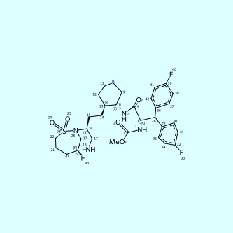 COC(=O)N[C@H](C(=O)N[C@H]1CCCC[C@@H]1CC[C@H]1CN[C@@H]2CCCS(=O)(=O)N1C2)C(c1ccc(F)cc1)c1ccc(F)cc1